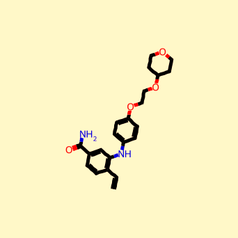 C=Cc1ccc(C(N)=O)cc1Nc1ccc(OCCOC2CCOCC2)cc1